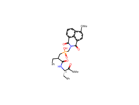 CNC(=O)[C@H](CC(C)C)NC(=O)C(CC(C)C)CP(=O)(O)CN1C(=O)c2cccc3c(OC)ccc(c23)C1=O